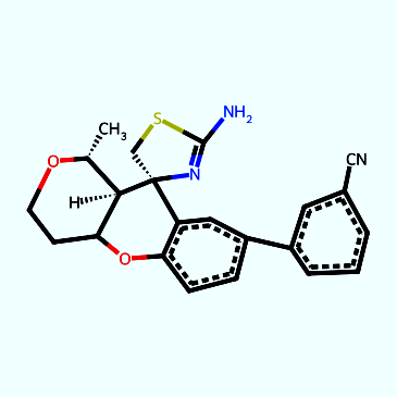 C[C@H]1OCCC2Oc3ccc(-c4cccc(C#N)c4)cc3[C@@]3(CSC(N)=N3)[C@@H]21